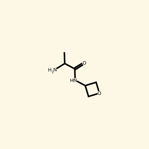 CC(N)C(=O)NC1COC1